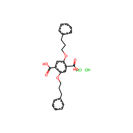 Cl.Cl.O=C(O)c1cc(OCCCc2ccccc2)c(C(=O)O)cc1OCCCc1ccccc1